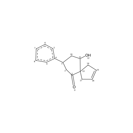 O=C1CC(c2ccccc2)CC(O)C12CC=CC2